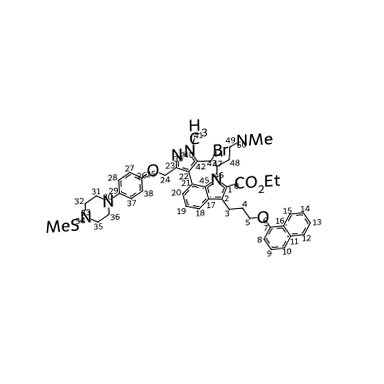 CCOC(=O)c1c(CCCOc2cccc3ccccc23)c2cccc(-c3c(COc4ccc(N5CCN(SC)CC5)cc4)nn(C)c3CBr)c2n1CCCNC